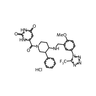 COc1ccc(-n2nnnc2C(F)(F)F)cc1CNC1CCN(C(=O)c2cc(=O)[nH]c(=O)[nH]2)CC1c1ccccc1.Cl